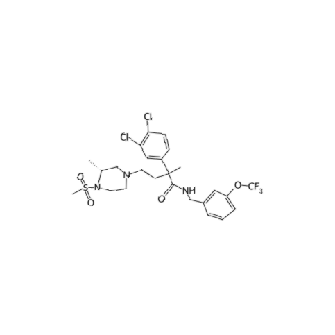 C[C@@H]1CN(CCC(C)(C(=O)NCc2cccc(OC(F)(F)F)c2)c2ccc(Cl)c(Cl)c2)CCN1S(C)(=O)=O